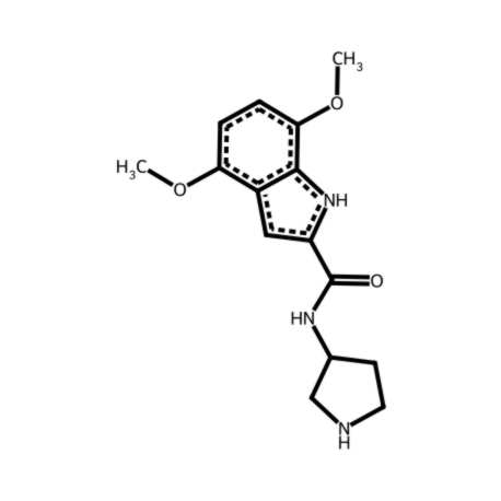 COc1ccc(OC)c2[nH]c(C(=O)NC3CCNC3)cc12